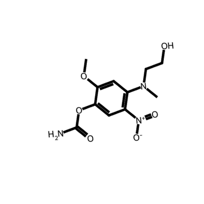 COc1cc(N(C)CCO)c([N+](=O)[O-])cc1OC(N)=O